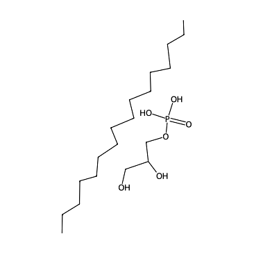 CCCCCCCCCCCCCCCC.O=P(O)(O)OCC(O)CO